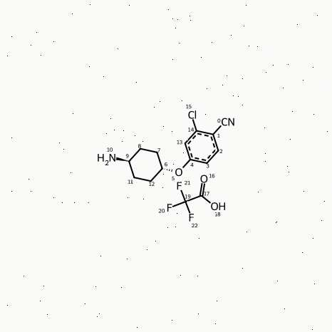 N#Cc1ccc(O[C@H]2CC[C@H](N)CC2)cc1Cl.O=C(O)C(F)(F)F